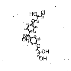 OCC(O)COc1ccc(/C(=N\O)c2ccc(OCC(O)CCl)cc2)cc1